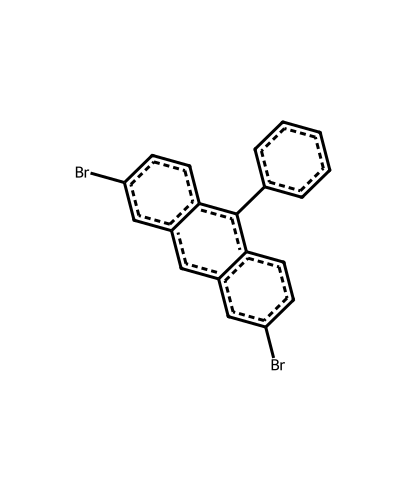 Brc1ccc2c(-c3ccccc3)c3ccc(Br)cc3cc2c1